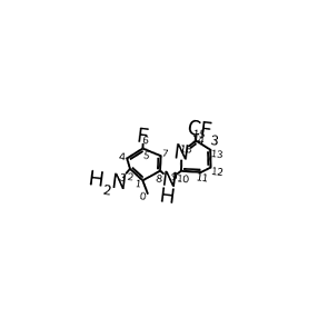 Cc1c(N)cc(F)cc1Nc1cccc(C(F)(F)F)n1